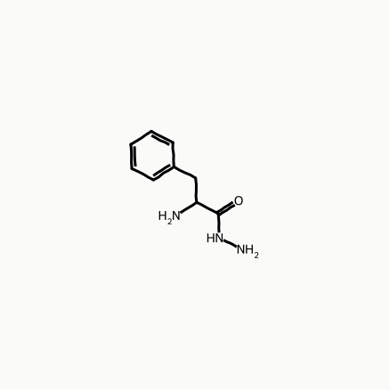 NNC(=O)C(N)Cc1ccccc1